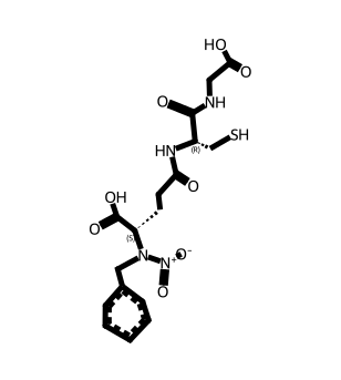 O=C(O)CNC(=O)[C@H](CS)NC(=O)CC[C@@H](C(=O)O)N(Cc1ccccc1)[N+](=O)[O-]